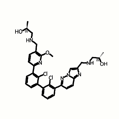 COc1nc(-c2cccc(-c3cccc(-c4ccc5nc(CNC[C@H](C)O)cn5n4)c3Cl)c2Cl)ccc1CNC[C@H](C)O